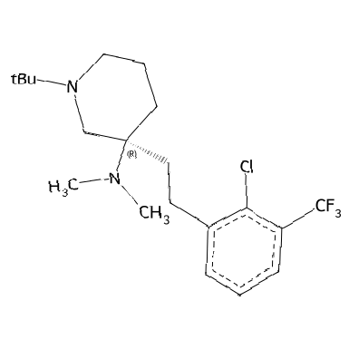 CN(C)[C@]1(CCc2cccc(C(F)(F)F)c2Cl)CCCN(C(C)(C)C)C1